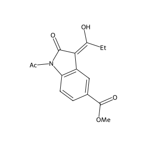 CC/C(O)=C1/C(=O)N(C(C)=O)c2ccc(C(=O)OC)cc21